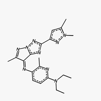 CCN(CC)c1ccc(/N=C2/C(C)=Nn3nc(-c4cc(C)n(C)n4)nc32)c(C)n1